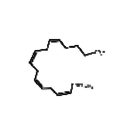 CCCCC/C=C\C/C=C\C/C=C\C/C=C\CCCC(=O)O.[CaH2]